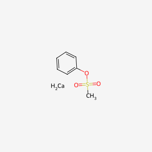 CS(=O)(=O)Oc1ccccc1.[CaH2]